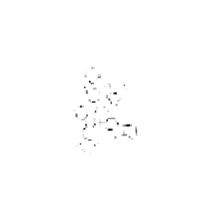 Cc1cc2c(cc1N(c1cc3c(cc1Nc1ccc4c(c1)C(C)(C)CCC4(C)C)C(C)(C)c1ccccc1-3)c1cc3ccccc3c3c1BC1CC3=CC3=C1C(C)(C)CCC3(C)C)C(C)(C)CCC2(C)C